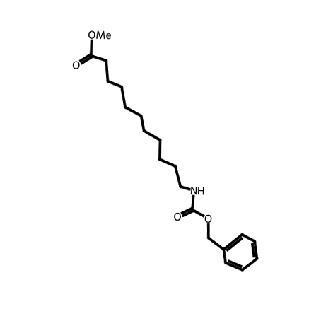 COC(=O)CCCCCCCCCCNC(=O)OCc1ccccc1